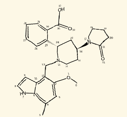 COc1cc(C)c2[nH]ccc2c1CN1CC[C@H](N2CCCC2=O)C[C@H]1c1ccccc1C(=O)O